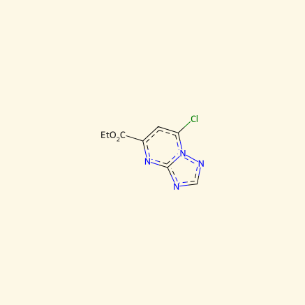 CCOC(=O)c1cc(Cl)n2ncnc2n1